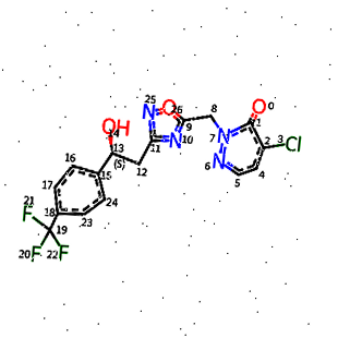 O=c1c(Cl)ccnn1Cc1nc(C[C@H](O)c2ccc(C(F)(F)F)cc2)no1